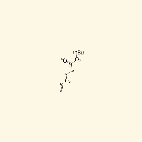 C=COCCC(=O)OCCCC